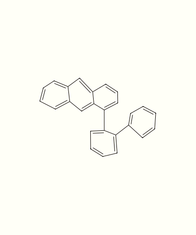 c1ccc(-c2ccccc2-c2cccc3cc4ccccc4cc23)cc1